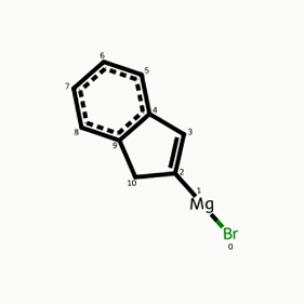 [Br][Mg][C]1=Cc2ccccc2C1